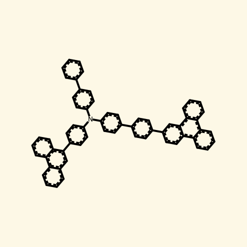 c1ccc(-c2ccc(N(c3ccc(-c4ccc(-c5ccc6c7ccccc7c7ccccc7c6c5)cc4)cc3)c3ccc(-c4cc5ccccc5c5ccccc45)cc3)cc2)cc1